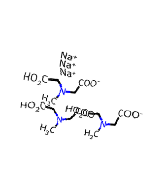 CN(CC(=O)[O-])CC(=O)O.CN(CC(=O)[O-])CC(=O)O.CN(CC(=O)[O-])CC(=O)O.[Na+].[Na+].[Na+]